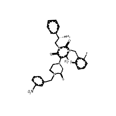 Cc1c(N2CCN(Cc3cccc([N+](=O)[O-])c3)C(=O)C2)c(=O)n(C[C@@H](N)c2ccccc2)c(=O)n1Cc1c(F)cccc1F